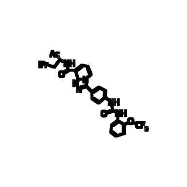 CC(=O)[C@@H](CC(C)C)NC(=O)c1cccn2c(-c3ccc(NC(=O)Nc4ccccc4OC(F)(F)F)cc3)nnc12